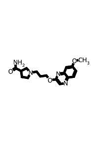 COc1ccc2ncc(OCCCN3CCC(C(N)=O)C3)nc2c1